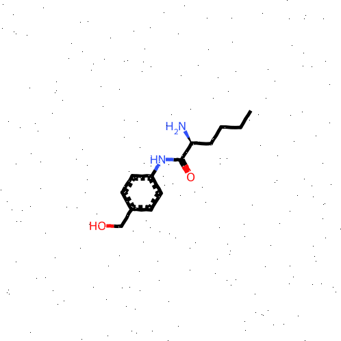 CCCC[C@H](N)C(=O)Nc1ccc(CO)cc1